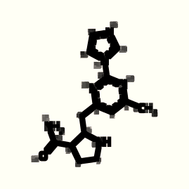 Cc1cc(CC2NCCC2C(N)=O)nc(-n2ccnc2)n1